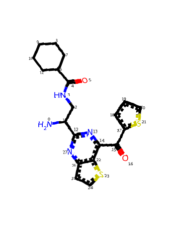 NC(CNC(=O)C1CCCCC1)c1nc(C(=O)c2cccs2)c2sccc2n1